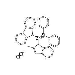 CC1=Cc2ccccc2[CH]1[Zr+2]([CH]1c2ccccc2-c2ccccc21)=[Si](c1ccccc1)c1ccccc1.[Cl-].[Cl-]